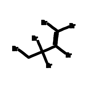 BrCC(Br)(Br)C(Br)=C(Br)Br